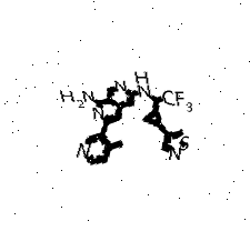 Cc1ccncc1-c1cc2cc(NC(C3CC3c3cnsc3)C(F)(F)F)ncc2c(N)n1